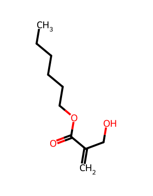 C=C(CO)C(=O)OCCCCCC